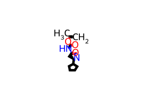 C=C(C)OC(=O)Nc1cc(C2CCCC2)no1